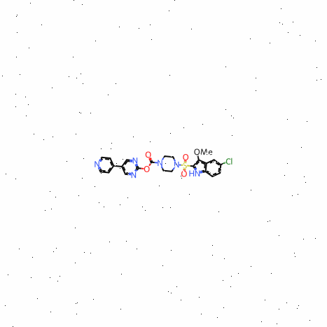 COc1c(S(=O)(=O)N2CCN(C(=O)Oc3ncc(-c4ccncc4)cn3)CC2)[nH]c2ccc(Cl)cc12